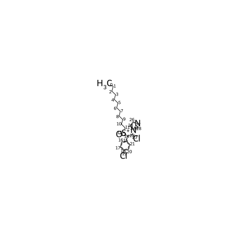 CCCCCCCCCCCC[S+]([O-])C(c1ccc(Cl)cc1)C(Cl)n1ccnc1